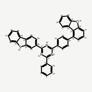 c1ccc(-c2nc(-c3ccc(-c4cccc5oc6ccccc6c45)cc3)nc(-c3ccc4c(c3)sc3ccccc34)n2)cc1